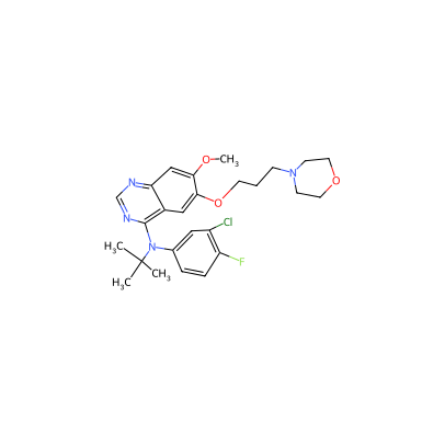 COc1cc2ncnc(N(c3ccc(F)c(Cl)c3)C(C)(C)C)c2cc1OCCCN1CCOCC1